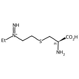 CC[N+](=N)CCSC[C@H](N)C(=O)O